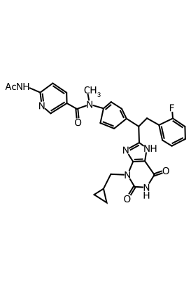 CC(=O)Nc1ccc(C(=O)N(C)c2ccc(C(Cc3ccccc3F)c3nc4c([nH]3)c(=O)[nH]c(=O)n4CC3CC3)cc2)cn1